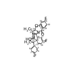 C=C(c1ccc(F)cc1)C1(C(=O)O)C=CC(F)=CC1c1nc(C)c(C)n1C(=O)c1ccc(F)cc1